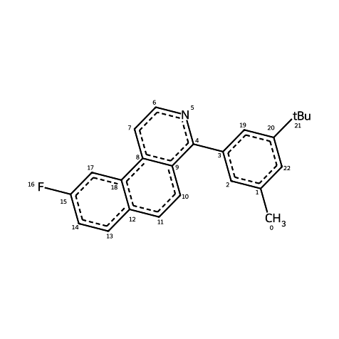 Cc1cc(-c2nccc3c2ccc2ccc(F)cc23)cc(C(C)(C)C)c1